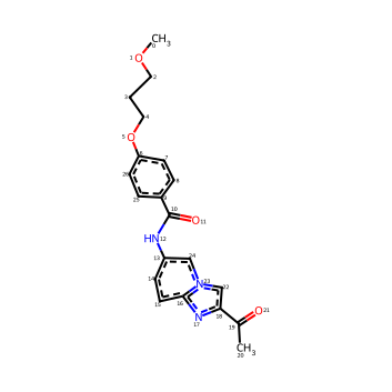 COCCCOc1ccc(C(=O)Nc2ccc3nc(C(C)=O)cn3c2)cc1